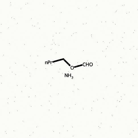 CCCCOC=O.N